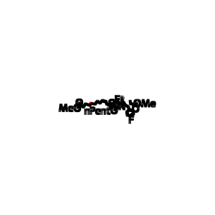 CCCCCC(OC(=O)C[N@@]1C([C@@H](c2ccc(F)cc2)C(C)C(=O)OC)[C@@H]1CC)C(O)C/C=C\CCCCCCCC(=O)OC